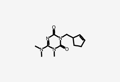 CN(C)c1nc(=O)n(CC2C=CCC2)c(=O)n1C